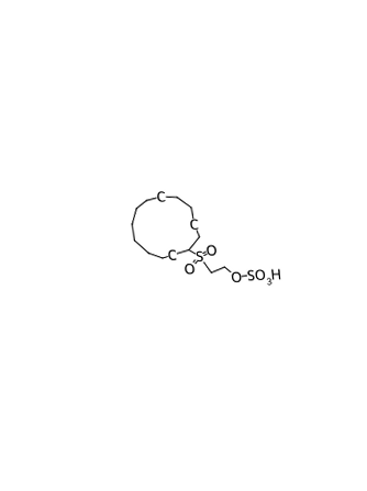 O=S(=O)(O)OCCS(=O)(=O)C1CCCCCCCCCCCC1